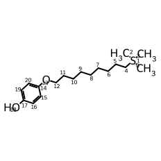 CS(C)(C)CCCCCCCCCOc1ccc(O)cc1